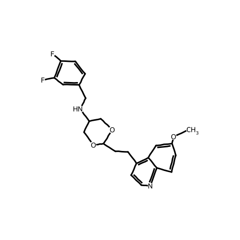 COc1ccc2nccc(CCC3OCC(NCc4ccc(F)c(F)c4)CO3)c2c1